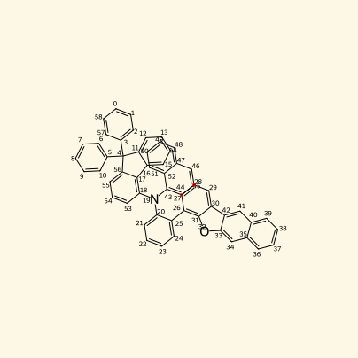 c1ccc(C2(c3ccccc3)c3ccccc3-c3c(N(c4ccccc4-c4cccc5c4oc4cc6ccccc6cc45)c4cccc5ccccc45)cccc32)cc1